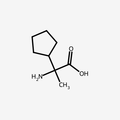 CC(N)(C(=O)O)C1CCCC1